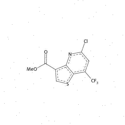 COC(=O)c1csc2c(C(F)(F)F)cc(Cl)nc12